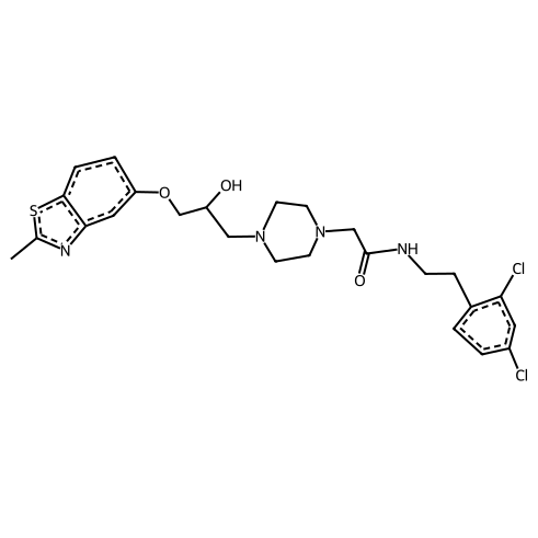 Cc1nc2cc(OCC(O)CN3CCN(CC(=O)NCCc4ccc(Cl)cc4Cl)CC3)ccc2s1